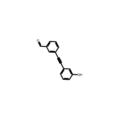 O=Cc1cccc(C#Cc2cccc(O)c2)c1